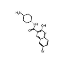 N[C@H]1CC[C@H](NC(=O)c2cc3cc(Br)ccc3nc2O)CC1